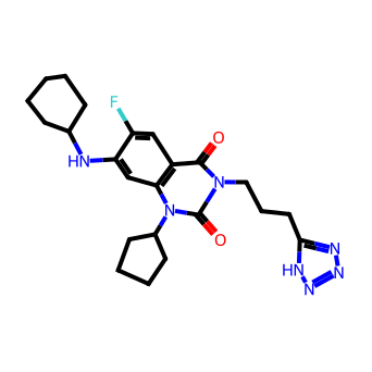 O=c1c2cc(F)c(NC3CCCCC3)cc2n(C2CCCC2)c(=O)n1CCCc1nnn[nH]1